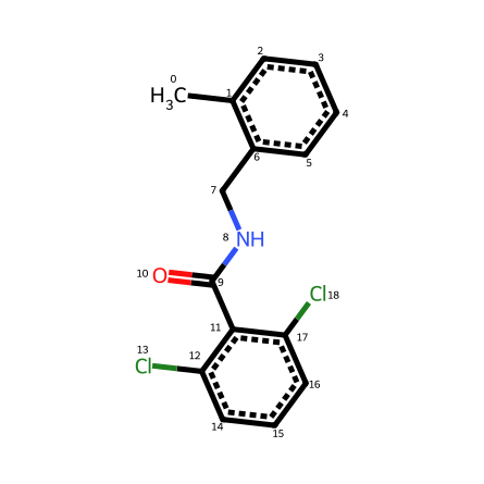 Cc1ccccc1CNC(=O)c1c(Cl)cccc1Cl